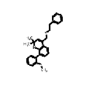 CSc1ccccc1-c1cccc2c1NC(C)(C)C=C2CSCCc1ccccc1